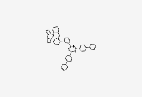 c1ccc(-c2ccc(-c3nc(-c4ccc(-c5ccccc5)cc4)nc(-c4cccc(-c5cccc6c5Sc5ccccc5C65c6ccccc6-c6ccccc65)c4)n3)cc2)cc1